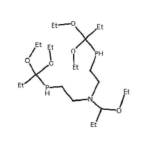 CCOC(CC)N(CCPC(CC)(OCC)OCC)CCPC(CC)(OCC)OCC